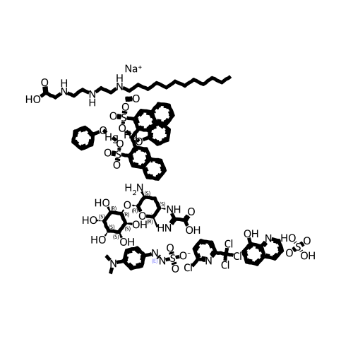 C=O.CCCCCCCCCCCCNCCNCCNCC(=O)O.CN(C)c1ccc(/N=N/S(=O)(=O)[O-])cc1.C[C@H]1O[C@H](O[C@H]2[C@H](O)[C@@H](O)[C@@H](O)[C@H](O)[C@@H]2O)[C@@H](N)C[C@@H]1NC(=N)C(=O)O.Clc1cccc(C(Cl)(Cl)Cl)n1.O=S(=O)(O)O.O=S(=O)([O][Hg][O]c1ccccc1)c1cc2ccccc2cc1Cc1cc2ccccc2cc1S(=O)(=O)[O][Hg][O]c1ccccc1.Oc1cccc2cccnc12.[Na+]